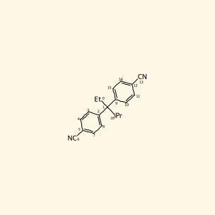 CCC(c1ccc(C#N)cc1)(c1ccc(C#N)cc1)C(C)C